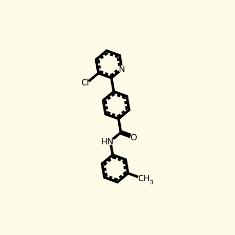 Cc1cccc(NC(=O)c2ccc(-c3ncccc3Cl)cc2)c1